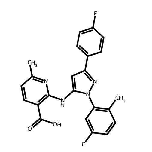 Cc1ccc(C(=O)O)c(Nc2cc(-c3ccc(F)cc3)nn2-c2cc(F)ccc2C)n1